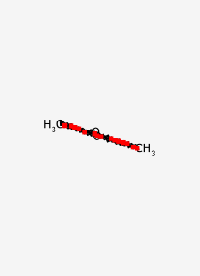 CCCCC=CC=CC=CCCCCCCCC(=O)OCCCCCCCCCCCCCCCCCCCCC